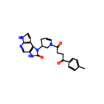 Cc1ccc(C(=O)CCC(=O)N2C=CCC(n3c(=O)[nH]c4cnc5[nH]ccc5c43)C2)cc1